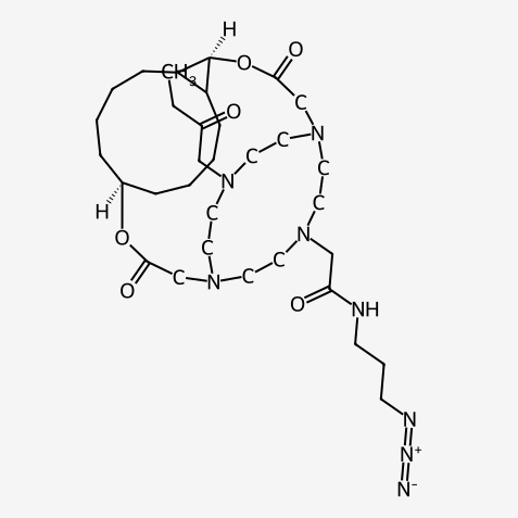 CCC(=O)CN1CCN2CCN(CC(=O)NCCCN=[N+]=[N-])CCN(CC1)CC(=O)O[C@H]1C3CCCC[C@H](CCCCC31)OC(=O)C2